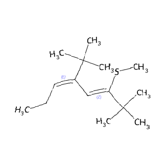 CC/C=C(\C=C(/SC)C(C)(C)C)C(C)(C)C